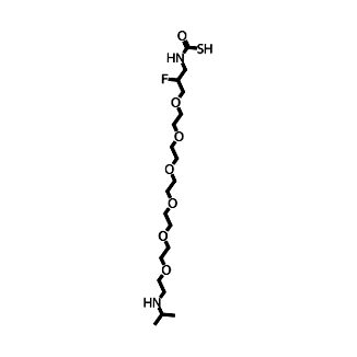 CC(C)NCCOCCOCCOCCOCCOCCOCC(F)CNC(=O)S